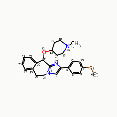 CCSc1ccc(-c2cn3c(n2)C(OC2CCN(C)CC2)c2ccccc2CC3)cc1